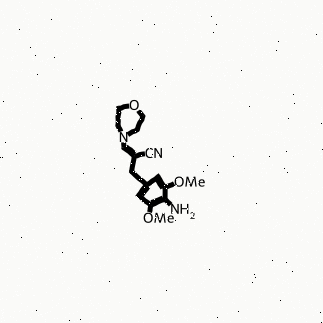 COc1cc(C/C(C#N)=C/N2CCOCC2)cc(OC)c1N